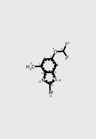 Cc1cc(OC(F)F)cc2sc(Br)nc12